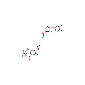 Cc1ccc(Oc2ccc(OCCCCCCOc3cc4c(cc3C)C(=O)N3CCC[C@H]3C=N4)cc2I)cc1C